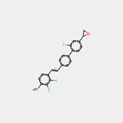 CCCc1ccc(/C=C/c2ccc(-c3ccc(C4CO4)cc3F)cc2)c(F)c1F